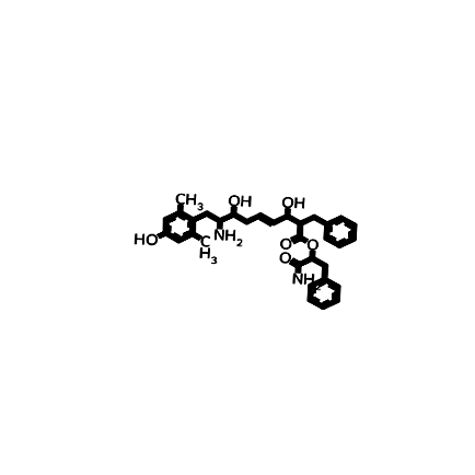 Cc1cc(O)cc(C)c1CC(N)C(O)CC=CC(O)C(Cc1ccccc1)C(=O)OC(Cc1ccccc1)C(N)=O